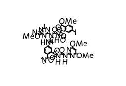 COC(=O)c1ccc(I)cc1S(=O)(=O)[N-]C(=O)Nc1nc(C)nc(OC)n1.COc1cc(OC)nc(NC(=O)NS(=O)(=O)c2cc(NC=O)ccc2C(=O)N(C)C)n1.[Na+]